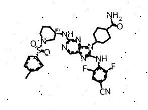 Cc1ccc(S(=O)(=O)N2CCC[C@@H](Nc3ncc4nc(Nc5c(F)cc(C#N)cc5F)n(C5CCC(C(N)=O)CC5)c4n3)C2)cc1